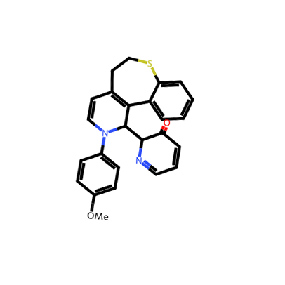 COc1ccc(N2C=CC3=C(c4ccccc4SCC3)C2C2N=CC=CC2=O)cc1